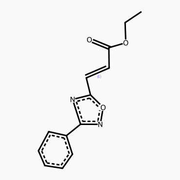 CCOC(=O)/C=C/c1nc(-c2ccccc2)no1